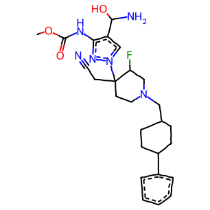 COC(=O)Nc1nn(C2(CC#N)CCN(CC3CCC(c4ccccc4)CC3)CC2F)cc1C(N)O